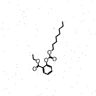 CCCCCCCCOC(=O)Oc1ccccc1C(=O)OCC